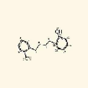 N#Cc1ccccc1CCCCc1ccccc1O